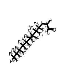 [CH2]C(CC(F)(F)C(F)(F)C(F)(F)C(F)(F)C(F)(F)C(F)(F)C(F)(F)C(F)(F)C(F)(F)F)C(C)=O